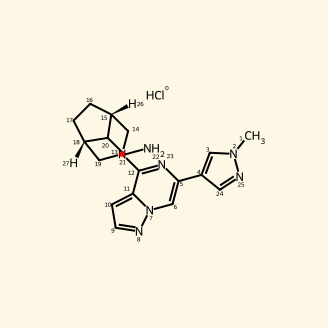 Cl.Cn1cc(-c2cn3nccc3c(N3C[C@H]4CC[C@@H](C3)C4CN)n2)cn1